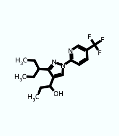 CCC(O)c1cn(-c2ccc(C(F)(F)F)cn2)nc1C(CC)CC